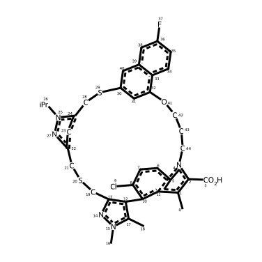 Cc1c(C(=O)O)n2c3ccc(Cl)c(c13)-c1c(nn(C)c1C)CSCc1cc(n(C(C)C)n1)CSc1cc(c3ccc(F)cc3c1)OCCC2